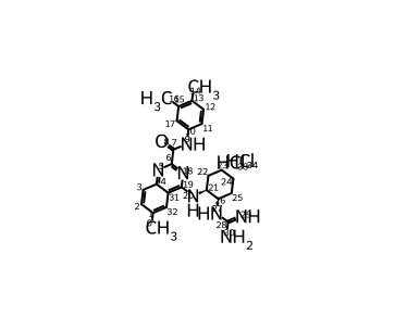 Cc1ccc2nc(C(=O)Nc3ccc(C)c(C)c3)nc(N[C@H]3CCCC[C@H]3NC(=N)N)c2c1.Cl.Cl